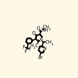 CNC(=O)c1cn(C(C)c2ccc(Br)cn2)c(C)c(-c2cccc(C(F)(F)F)c2)c1=O